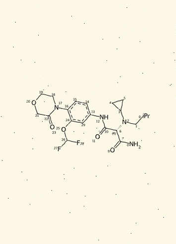 CC(C)CN(C1CC1)[C@H](C(N)=O)C(=O)Nc1ccc(N2CCOCC2=O)c(OC(F)F)c1